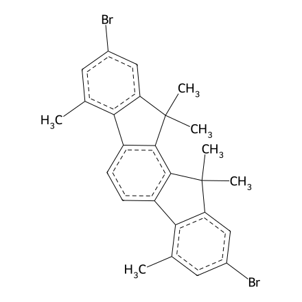 Cc1cc(Br)cc2c1-c1ccc3c(c1C2(C)C)C(C)(C)c1cc(Br)cc(C)c1-3